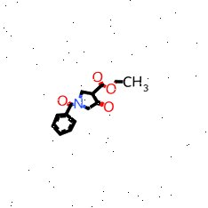 CCOC(=O)C1CN(C(=O)c2ccccc2)CC1=O